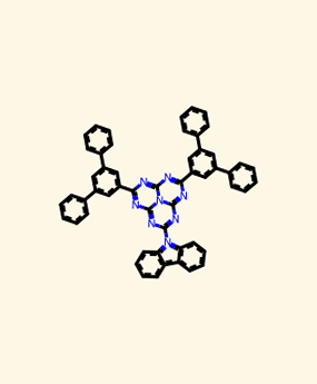 c1ccc(-c2cc(C3=NC4=NC(c5cc(-c6ccccc6)cc(-c6ccccc6)c5)=NC5=NC(n6c7ccccc7c7ccccc76)=NC(=N3)N45)cc(-c3ccccc3)c2)cc1